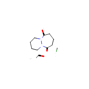 COC(=O)[C@@H]1CCCN2C(=O)CC[C@H](CBr)C(=O)N12